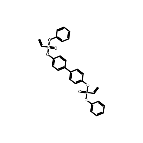 C=CP(=O)(Oc1ccccc1)Oc1ccc(-c2ccc(OP(=O)(C=C)Oc3ccccc3)cc2)cc1